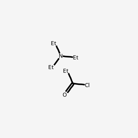 CCC(=O)Cl.CCN(CC)CC